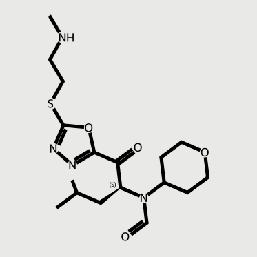 CNCCSc1nnc(C(=O)[C@H](CC(C)C)N(C=O)C2CCOCC2)o1